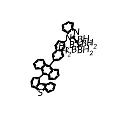 BC(B)(B)C(B)(B)c1nc2ccccc2n1-c1ccc2cc(-c3c4ccccc4c(-c4cccc5sc6ccccc6c45)c4ccccc34)ccc2c1